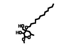 CCCCCCCCCCCCOC1(CO)CC(C)O[C@@H](OC)C1O